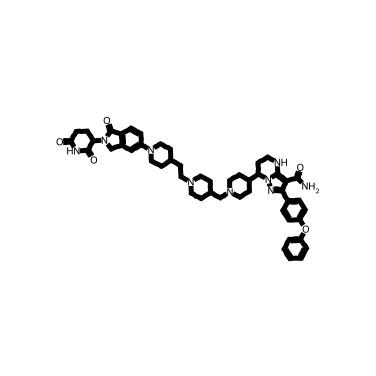 NC(=O)c1c(-c2ccc(Oc3ccccc3)cc2)nn2c1NCCC2C1CCN(CC2CCN(CCC3CCN(c4ccc5c(c4)CN(C4CCC(=O)NC4=O)C5=O)CC3)CC2)CC1